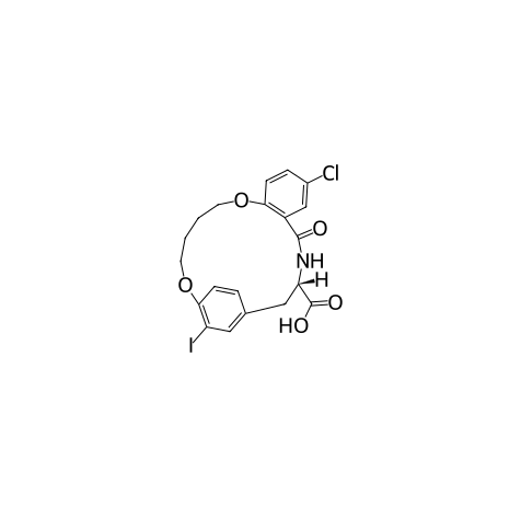 O=C1N[C@H](C(=O)O)Cc2ccc(c(I)c2)OCCCCOc2ccc(Cl)cc21